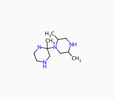 CC1CN(C2(C)CNCC[N]2)C(C)CN1